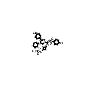 NS(=O)(=O)OC1CC(N/C(=N\S(=O)(=O)c2ccc(Cl)cc2)N2C[C@H](c3ccccc3)C(c3ccc(Cl)cc3)=N2)C1